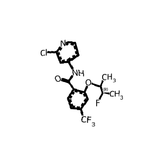 CC(Oc1cc(C(F)(F)F)ccc1C(=O)Nc1ccnc(Cl)c1)[C@@H](C)F